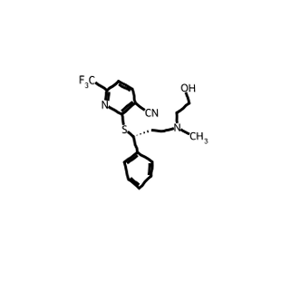 CN(CCO)CC[C@@H](Sc1nc(C(F)(F)F)ccc1C#N)c1ccccc1